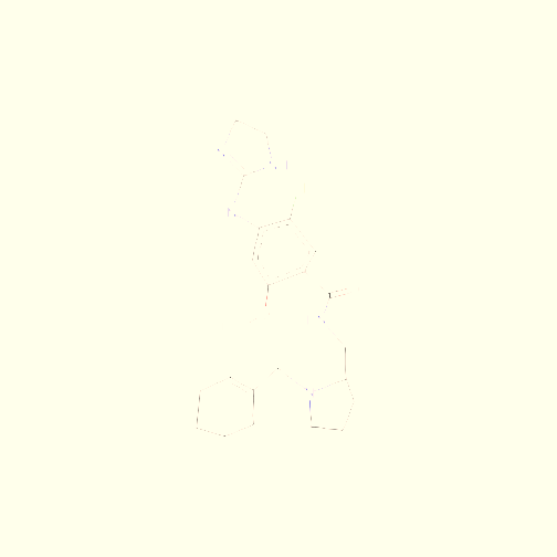 COc1cc(NC2=NCCN2)c(Cl)cc1C(=O)NCC1CCCN1CC1=CCCCC1